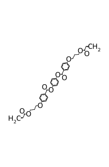 C=CC(=O)OCCCOc1ccc(C(=O)Oc2ccc(OC(=O)c3ccc(OCCCOC(=O)C=C)cc3)cc2)cc1